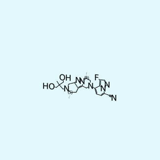 C[C@@H]1CN(c2ccc(C#N)n3ncc(F)c23)Cc2c3c(nn21)CN(CC(C)(CO)CO)[C@@H](C)C3